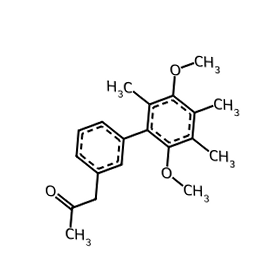 COc1c(C)c(C)c(OC)c(-c2cccc(CC(C)=O)c2)c1C